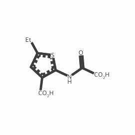 CCc1cc(C(=O)O)c(NC(=O)C(=O)O)s1